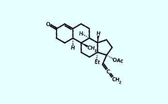 C=C=C[C@]1(OC(C)=O)CC[C@H]2[C@@H]3CCC4=CC(=O)CC[C@@H]4[C@@]3(C)CC[C@@]21CC